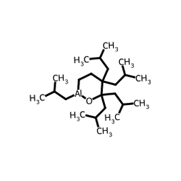 CC(C)[CH2][Al]1[CH2]CC(CC(C)C)(CC(C)C)C(CC(C)C)(CC(C)C)[O]1